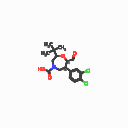 CC(C)(C)C1CN(C(=O)O)C[C@H](c2ccc(Cl)c(Cl)c2)[C@H](C=O)O1